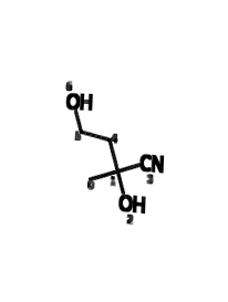 CC(O)(C#N)CCO